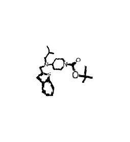 CC(C)CN(Cc1cc2ccccc2s1)C1CCN(C(=O)OC(C)(C)C)CC1